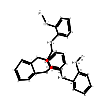 CC(C)Nc1ccccc1NCC1C2c3ccccc3C(c3ccccc32)C1CNc1ccccc1NC(C)C